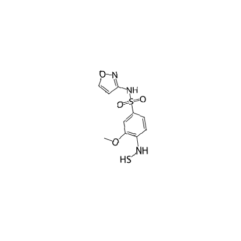 COc1cc(S(=O)(=O)Nc2ccon2)ccc1NS